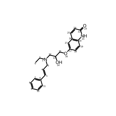 CCN(C/C=C/c1ccccc1)CC(O)COc1ccc2[nH]c(=O)ccc2c1